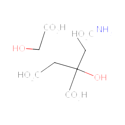 N.O=C(O)CC(O)(CC(=O)O)C(=O)O.O=C(O)CO